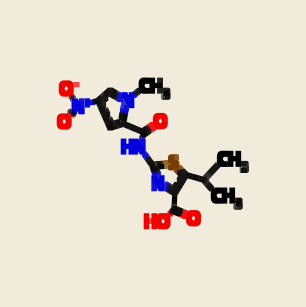 CC(C)c1sc(NC(=O)c2cc([N+](=O)[O-])cn2C)nc1C(=O)O